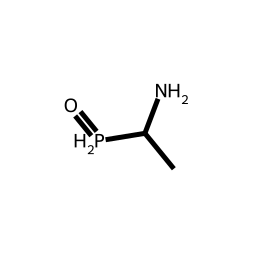 CC(N)[PH2]=O